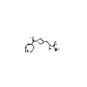 CC(C)C(=O)NCC1CN(C(=O)C2CCOCC2)C1